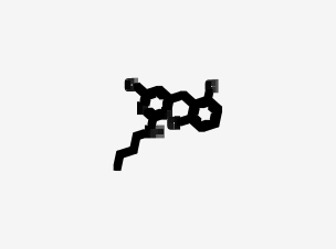 CCCCNc1nc(Cl)cc(Cc2c(Cl)cccc2Cl)n1